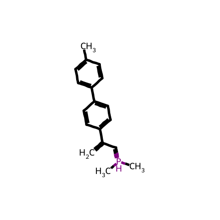 C=C(C=[PH](C)C)c1ccc(-c2ccc(C)cc2)cc1